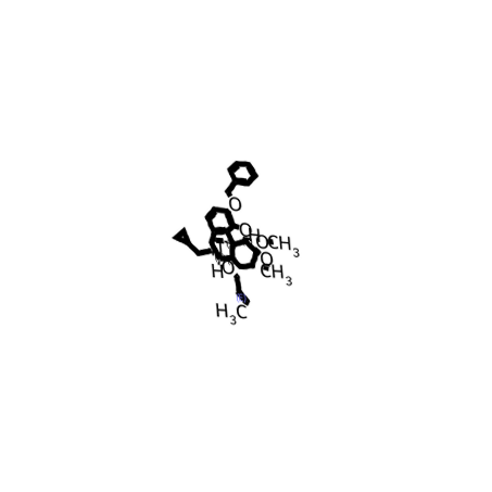 C/C=C/CO[C@@]12CCC(OC)(OC)[C@@H]3Oc4c(OCc5ccccc5)ccc5c4[C@@]31CCN(CC1CC1)[C@@H]2C5